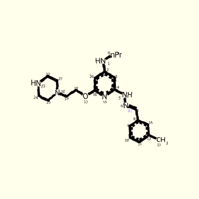 CCCNc1cc(N/N=C/c2cccc(C)c2)nc(OCCN2CCNCC2)c1